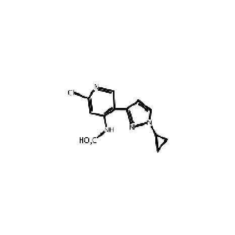 O=C(O)Nc1cc(Cl)ncc1-c1ccn(C2CC2)n1